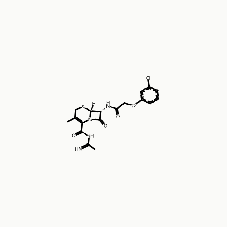 CC(=N)NC(=O)C1=C(C)CS[C@@H]2[C@H](NC(=O)COc3cccc(Cl)c3)C(=O)N12